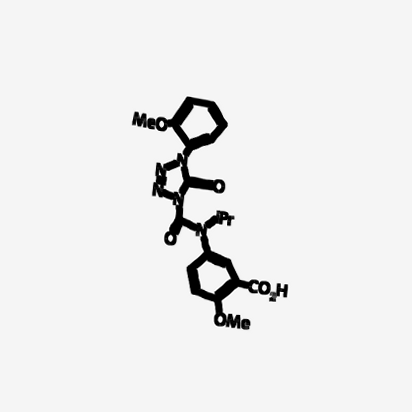 COc1ccc(N(C(=O)n2nnn(-c3ccccc3OC)c2=O)C(C)C)cc1C(=O)O